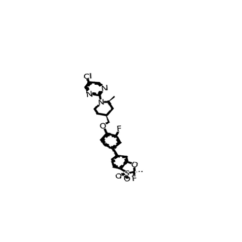 C[C@H]1C[C@@H](COc2ccc(-c3ccc4c(c3)O[C@@](C)(F)S4(=O)=O)cc2F)CCN1c1ncc(Cl)cn1